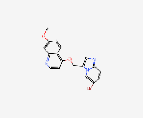 COc1ccc2c(OCc3cnc4ccc(Br)cn34)ccnc2c1